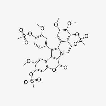 COc1cc(-c2c3c4cc(OC)c(OS(C)(=O)=O)cc4oc(=O)c3n3ccc4c(OS(C)(=O)=O)c(OC)c(OC)cc4c23)ccc1OS(C)(=O)=O